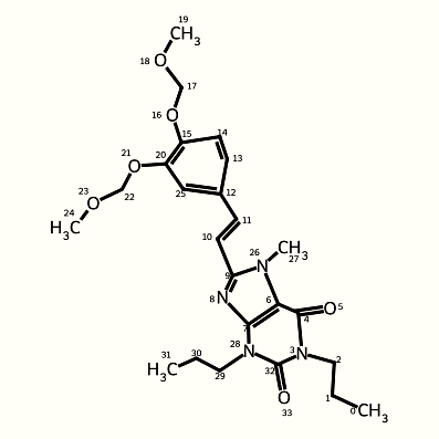 CCCn1c(=O)c2c(nc(C=Cc3ccc(OCOC)c(OCOC)c3)n2C)n(CCC)c1=O